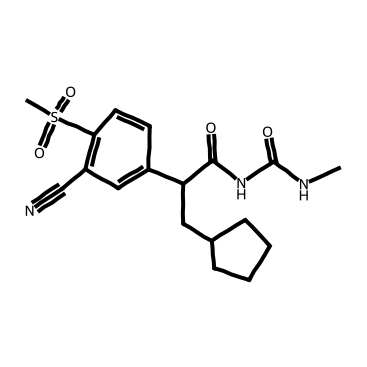 CNC(=O)NC(=O)C(CC1CCCC1)c1ccc(S(C)(=O)=O)c(C#N)c1